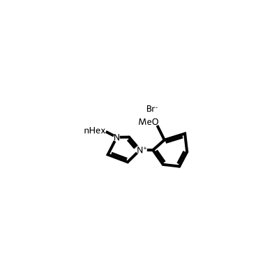 CCCCCCn1cc[n+](-c2ccccc2OC)c1.[Br-]